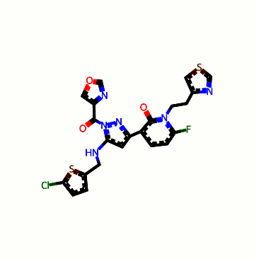 O=C(c1cocn1)n1nc(-c2ccc(F)n(CCc3cscn3)c2=O)cc1NCc1ccc(Cl)s1